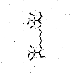 CCC(SSSSSSSC(CC)[Si](OC)(OC)OC)[Si](OC)(OC)OC